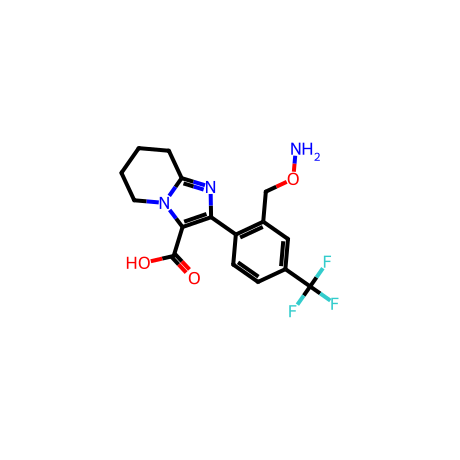 NOCc1cc(C(F)(F)F)ccc1-c1nc2n(c1C(=O)O)CCCC2